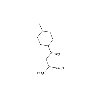 CC1CCC(C(=O)CC(C(=O)O)C(=O)O)CC1